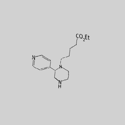 CCOC(=O)CCCCN1CCNCC1c1ccncc1